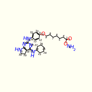 NOC(=O)CCCCCCOc1ccc(Nc2nc3c(c(NC4CCCCC4)n2)CCN3)cc1